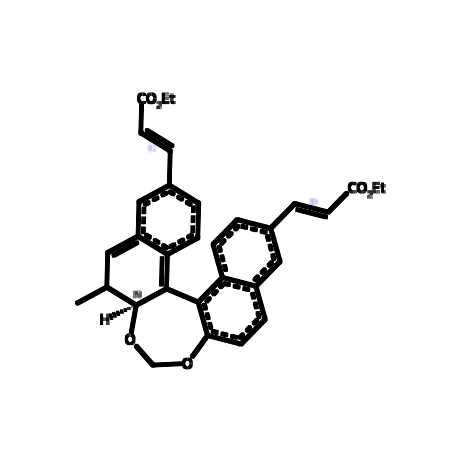 CCOC(=O)/C=C/c1ccc2c(c1)=CC(C)[C@@H]1OCOc3ccc4cc(/C=C/C(=O)OCC)ccc4c3C=21